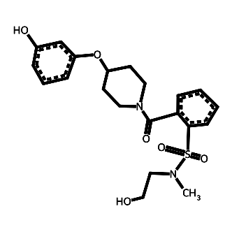 CN(CCO)S(=O)(=O)c1ccccc1C(=O)N1CCC(Oc2cccc(O)c2)CC1